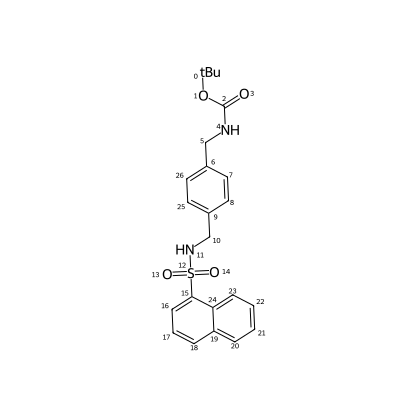 CC(C)(C)OC(=O)NCc1ccc(CNS(=O)(=O)c2cccc3ccccc23)cc1